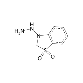 NNN1CS(=O)(=O)c2ccccc21